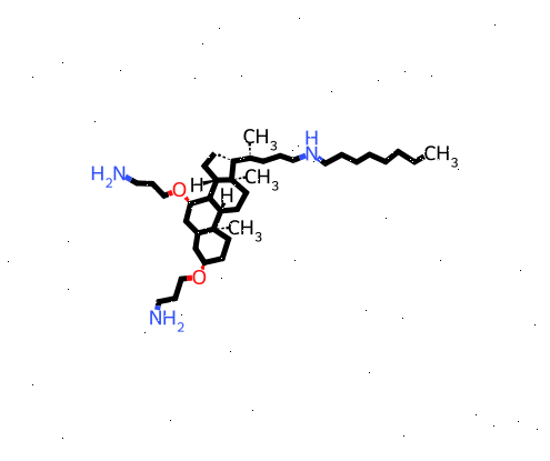 CCCCCCCCNCCC[C@@H](C)[C@H]1CC[C@H]2C3[C@H](OCCCN)CC4C[C@H](OCCCN)CC[C@]4(C)[C@H]3CC[C@]12C